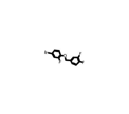 Fc1ccc(COc2ccc(Br)cc2F)cc1F